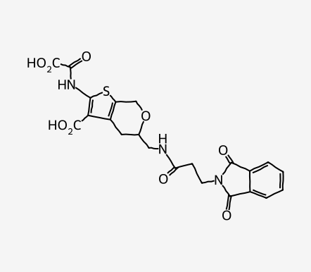 O=C(CCN1C(=O)c2ccccc2C1=O)NCC1Cc2c(sc(NC(=O)C(=O)O)c2C(=O)O)CO1